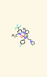 Cc1cc(C(F)(F)F)cc(N2[C@@H]3CC[C@@H](C3)[C@H]2C(=O)N(CCCN2CCCC2)c2ccc(F)cc2)n1